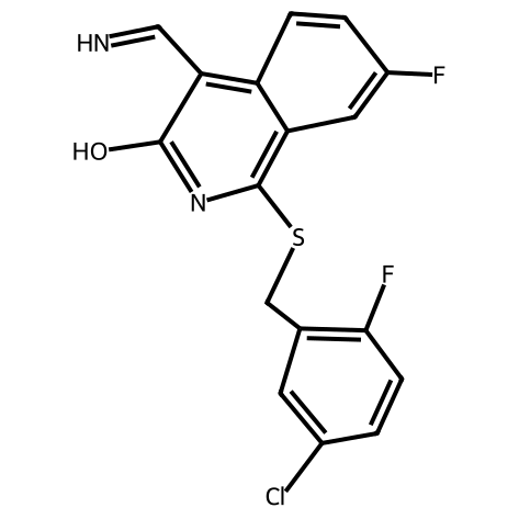 N=Cc1c(O)nc(SCc2cc(Cl)ccc2F)c2cc(F)ccc12